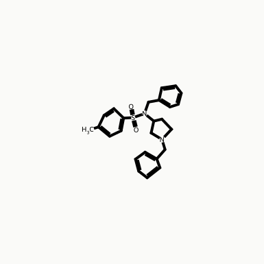 Cc1ccc(S(=O)(=O)N(Cc2ccccc2)C2CCN(Cc3ccccc3)C2)cc1